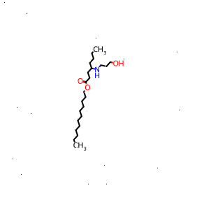 CCCCCCCCCCCCOC(=O)CCC(CCCC)NCCCO